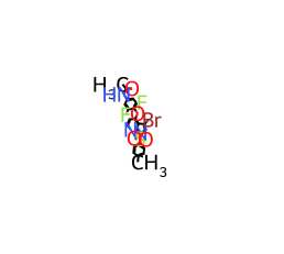 CC(=O)Nc1cc(F)c(Oc2ccnc3c2c(Br)cn3S(=O)(=O)c2ccc(C)cc2)c(F)c1